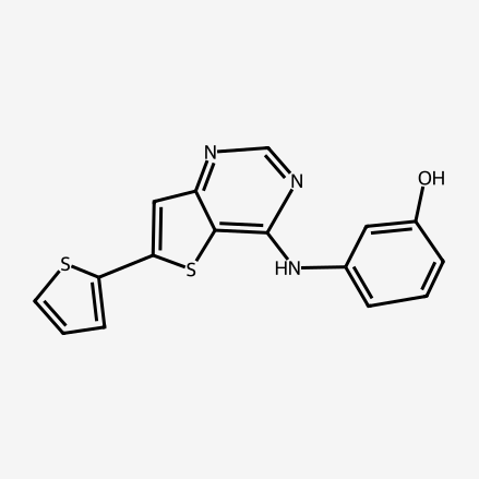 Oc1cccc(Nc2ncnc3cc(-c4cccs4)sc23)c1